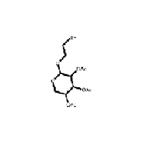 CC(=O)OC1COC(OCCC(C)C)C(OC(C)=O)C1OC(C)=O